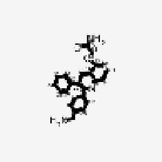 NCc1ccc(-c2nc3ccnc(OCC(N)=O)c3cc2-c2ccccc2)cc1